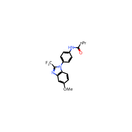 CCCC(=O)Nc1ccc(-n2c(C(F)(F)F)nc3cc(OC)ccc32)cc1